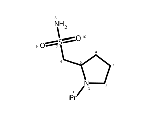 CC(C)N1CCCC1CS(N)(=O)=O